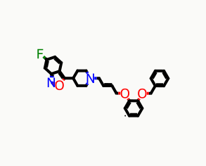 Fc1ccc2c(C3CCN(C/C=C/COc4c[c]ccc4OCc4ccccc4)CC3)onc2c1